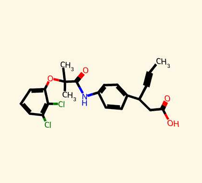 CC#CC(CC(=O)O)c1ccc(NC(=O)C(C)(C)Oc2cccc(Cl)c2Cl)cc1